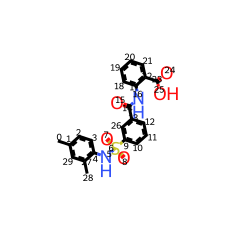 Cc1ccc(NS(=O)(=O)c2cccc(C(=O)Nc3ccccc3C(=O)O)c2)c(C)c1